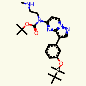 CNCCN(C(=O)OC(C)(C)C)c1ccn2ncc(-c3cccc(O[Si](C)(C)C(C)(C)C)c3)c2n1